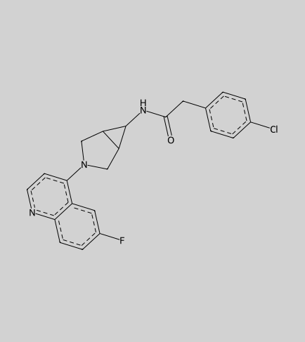 O=C(Cc1ccc(Cl)cc1)NC1C2CN(c3ccnc4ccc(F)cc34)CC21